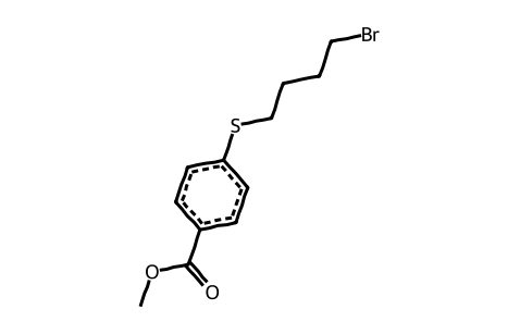 COC(=O)c1ccc(SCCCCBr)cc1